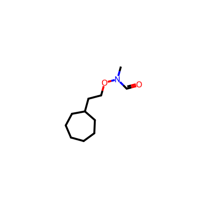 CN(C=O)OCCC1CCCCCC1